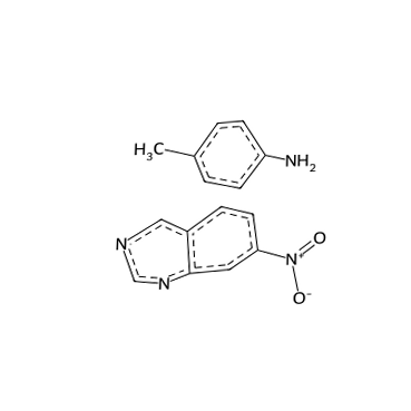 Cc1ccc(N)cc1.O=[N+]([O-])c1ccc2cncnc2c1